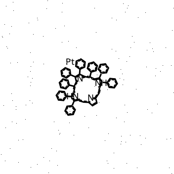 C1=Cc2cc3[nH]c(c(-c4ccccc4)c4nc(c(-c5ccccc5)c5[nH]c(cc1n2)c(-c1ccccc1)c5-c1ccccc1)C(c1ccccc1)=C4c1ccccc1)c(-c1ccccc1)c3-c1ccccc1.[Pt]